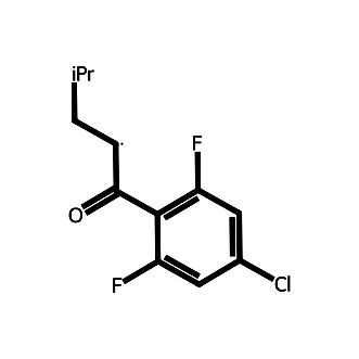 CC(C)C[CH]C(=O)c1c(F)cc(Cl)cc1F